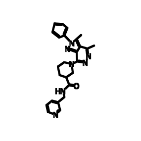 Cc1nnc(N2CCCC(C(=O)NCc3cccnc3)C2)c2nn(-c3ccccc3)c(C)c12